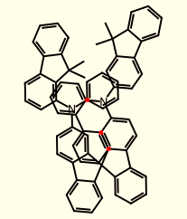 CC1(C)c2ccccc2-c2ccc(N(c3ccc4c(c3)C3(c5ccccc5-4)c4ccccc4-c4ccc(N(c5ccccc5)c5cccc6c5C(C)(C)c5ccccc5-6)cc43)c3ccccc3-c3ccccc3)cc21